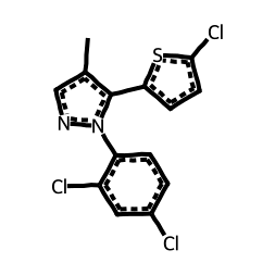 Cc1cnn(-c2ccc(Cl)cc2Cl)c1-c1ccc(Cl)s1